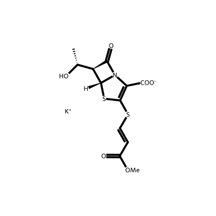 COC(=O)/C=C/SC1=C(C(=O)[O-])N2C(=O)[C@H]([C@@H](C)O)[C@H]2S1.[K+]